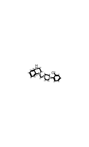 Clc1ccccc1N1CCN(CN2CCNc3ccccc32)CC1